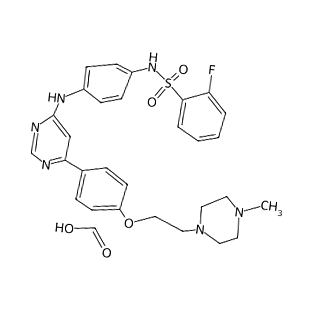 CN1CCN(CCOc2ccc(-c3cc(Nc4ccc(NS(=O)(=O)c5ccccc5F)cc4)ncn3)cc2)CC1.O=CO